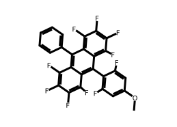 COc1cc(F)c(-c2c3c(F)c(F)c(F)c(F)c3c(-c3ccccc3)c3c(F)c(F)c(F)c(F)c23)c(F)c1